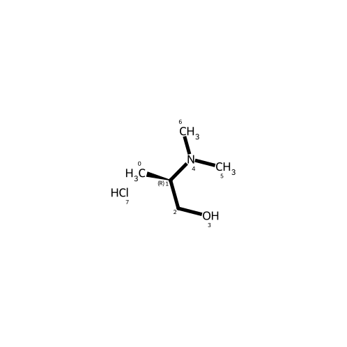 C[C@H](CO)N(C)C.Cl